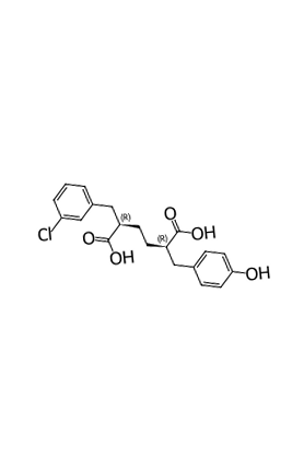 O=C(O)[C@H](CC[C@H](Cc1cccc(Cl)c1)C(=O)O)Cc1ccc(O)cc1